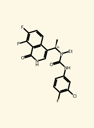 CCN(C(=O)Nc1ccc(F)c(Cl)c1)[C@H](C)c1c[nH]c(=O)c2c(F)c(F)ccc12